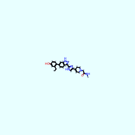 CCc1cc(O)ccc1-c1ccc2c(-c3nc(C4=CCN(CC(=O)NC)CC4)c[nH]3)n[nH]c2c1